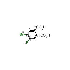 O=C(O)c1cc(F)c(Br)cc1C(=O)O